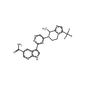 CC1c2ncc(C(F)(F)F)n2CCN1c1cnnc(-c2c[nH]c3ncc(C(N)=O)cc23)n1